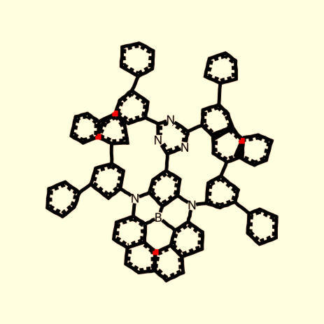 c1ccc(-c2cc(-c3ccccc3)cc(-c3nc(-c4cc(-c5ccccc5)cc(-c5ccccc5)c4)nc(-c4cc5c6c(c4)N(c4cc(-c7ccccc7)cc(-c7ccccc7)c4)c4ccc7ccccc7c4B6c4c(ccc6ccccc46)N5c4cc(-c5ccccc5)cc(-c5ccccc5)c4)n3)c2)cc1